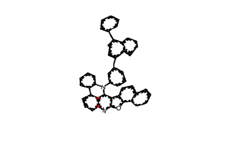 c1ccc(-c2ccccc2N(c2cccc(-c3ccc(-c4ccccc4)c4ccccc34)c2)c2ccnc3oc4c5ccccc5ccc4c23)cc1